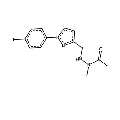 CC(=O)N(C)NCc1ccn(-c2ccc(F)cc2)n1